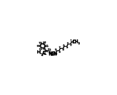 CCCCCCCCCCN=C=NCC(C)c1ccccc1